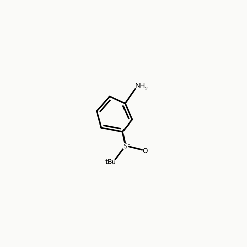 CC(C)(C)[S+]([O-])c1cccc(N)c1